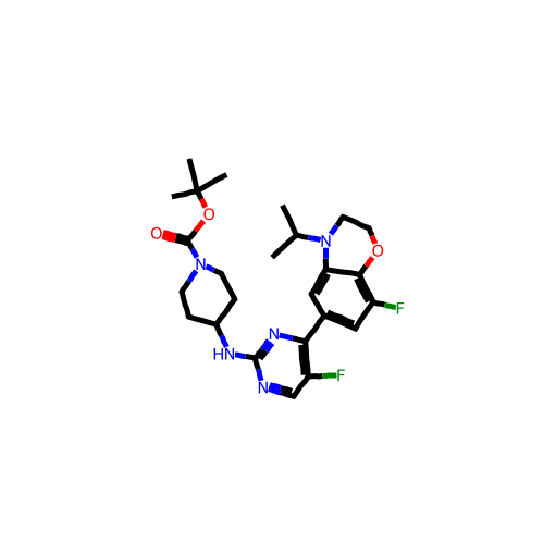 CC(C)N1CCOc2c(F)cc(-c3nc(NC4CCN(C(=O)OC(C)(C)C)CC4)ncc3F)cc21